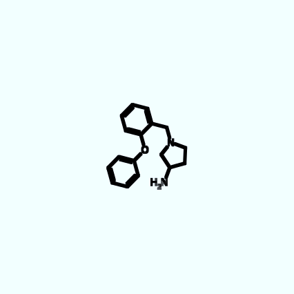 NC1CCN(Cc2ccccc2Oc2ccccc2)C1